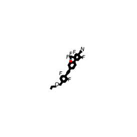 CCCOCc1cc(F)c(C#Cc2ccc(-c3cc(F)c(C#N)c(F)c3C(F)(F)F)cc2)c(F)c1